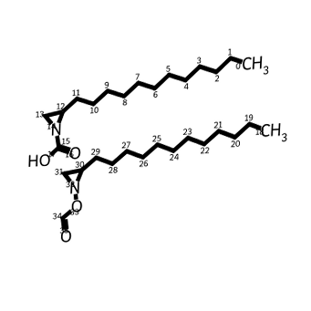 CCCCCCCCCCCCC1CN1C(=O)O.CCCCCCCCCCCCC1CN1OC=O